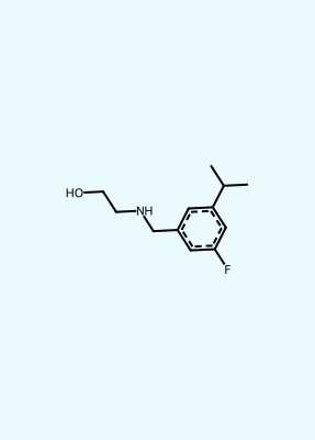 CC(C)c1cc(F)cc(CNCCO)c1